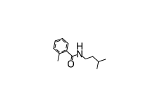 Cc1ccccc1C(=O)NCCC(C)C